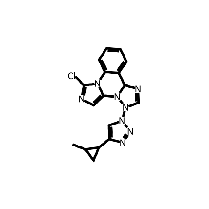 CC1CC1c1cn(N2C=NC3c4ccccc4-n4c(cnc4Cl)N32)nn1